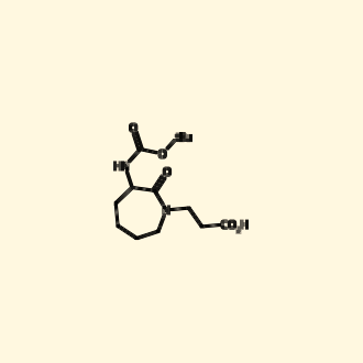 CC(C)(C)OC(=O)NC1CCCCN(CCC(=O)O)C1=O